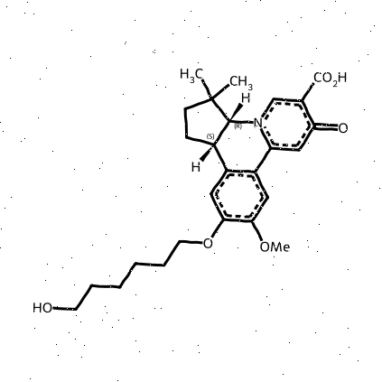 COc1cc2c(cc1OCCCCCCO)[C@@H]1CCC(C)(C)[C@@H]1n1cc(C(=O)O)c(=O)cc1-2